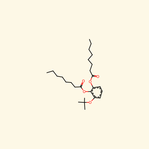 CCCCCCCC(=O)Oc1cccc(OC(C)(C)C)c1OC(=O)CCCCCCC